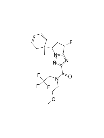 COCCN(CC(F)(F)F)C(=O)c1nc2n(n1)[C@H](C1(C)C=CC=CC1)C[C@@H]2F